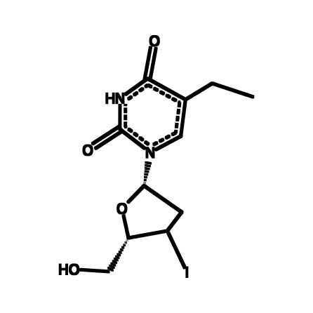 CCc1cn([C@@H]2CC(I)[C@H](CO)O2)c(=O)[nH]c1=O